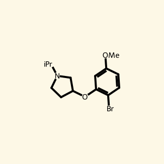 COc1ccc(Br)c(OC2CCN(C(C)C)C2)c1